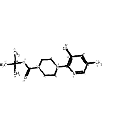 Cc1cnc(N2CCN(C(=O)OC(C)(C)C)CC2)c(Cl)c1